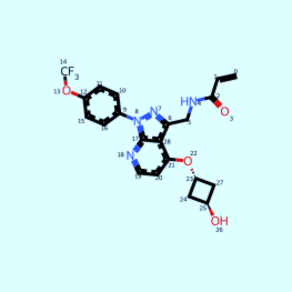 C=CC(=O)NCc1nn(-c2ccc(OC(F)(F)F)cc2)c2nccc(O[C@H]3C[C@H](O)C3)c12